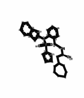 C[C@@H](CC1CCCCCC1)NCc1ccccc1N(c1cc2ccccc2s1)S(=O)(=O)c1cccs1